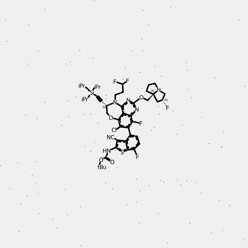 CC(C)[Si](C#C[C@H]1COc2c(Cl)c(-c3ccc(F)c4sc(NC(=O)OC(C)(C)C)c(C#N)c34)c(F)c3nc(OC[C@@]45CCCN4C[C@H](F)C5)nc(c23)N1CCC(F)F)(C(C)C)C(C)C